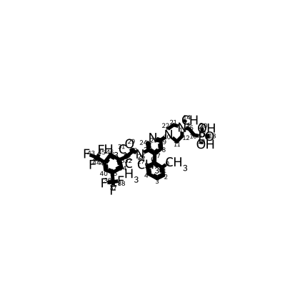 Cc1ccccc1-c1cc(N2CC[N+](C)(CCP(=O)(O)O)CC2)ncc1N(C)C(=O)C(C)(C)c1cc(C(F)(F)F)cc(C(F)(F)F)c1